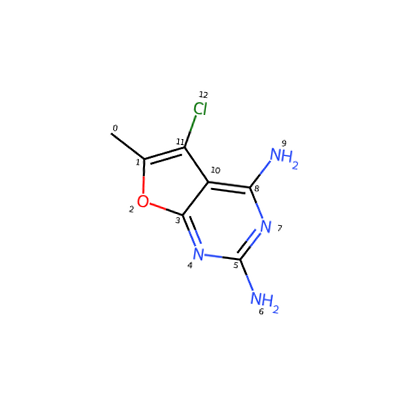 Cc1oc2nc(N)nc(N)c2c1Cl